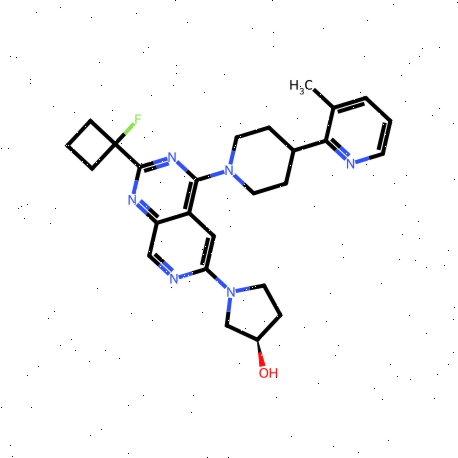 Cc1cccnc1C1CCN(c2nc(C3(F)CCC3)nc3cnc(N4CC[C@@H](O)C4)cc23)CC1